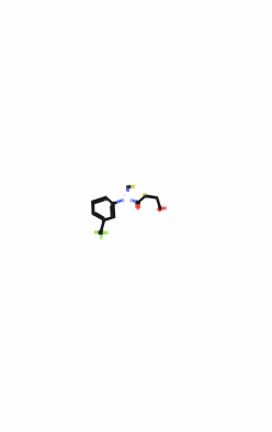 O=C(O)CC1SCN(c2cccc(C(F)(F)F)c2)C1=O